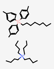 CCCCCCCC[B-](c1ccc(C)cc1)(c1ccc(C)cc1)c1ccc(C)cc1.CCCC[N+](CCCC)(CCCC)CCCC